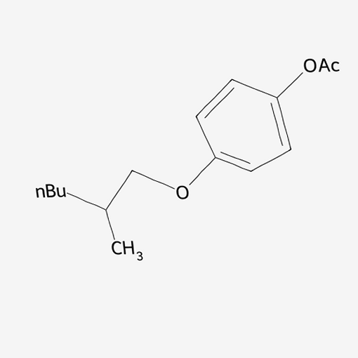 CCCCC(C)COc1ccc(OC(C)=O)cc1